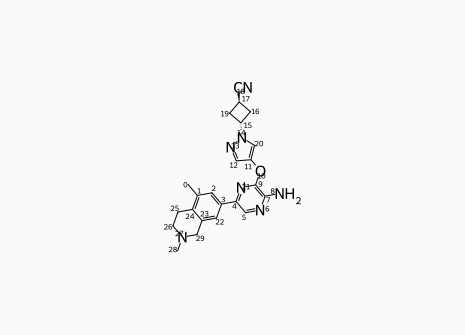 Cc1cc(-c2cnc(N)c(Oc3cnn([C@H]4C[C@H](C#N)C4)c3)n2)cc2c1CCN(C)C2